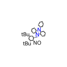 CC(C)(C)c1cc(/C=N/c2ccccc2N(c2ccccc2)c2ccccc2)c(N=O)c(C(C)(C)C)c1